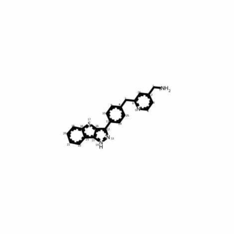 NCc1ccnc(Cc2ccc(-c3n[nH]c4c3sc3ccccc34)cc2)c1